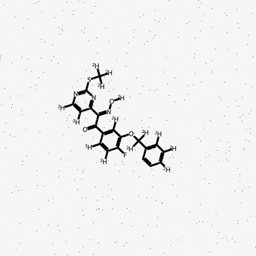 [2H]ON=C(C(=O)c1c([2H])c([2H])c(F)c(OC([2H])([2H])c2ccc([2H])c([2H])c2[2H])c1[2H])c1nc(SC([2H])([2H])[2H])nc([2H])c1[2H]